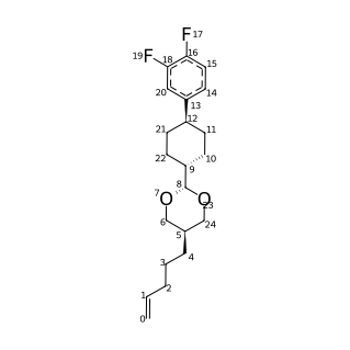 C=CCCC[C@H]1CO[C@H]([C@H]2CC[C@H](c3ccc(F)c(F)c3)CC2)OC1